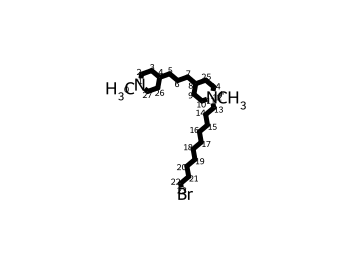 CN1CCC(CCCC2CC[N+](C)(CCCCCCCCCCBr)CC2)CC1